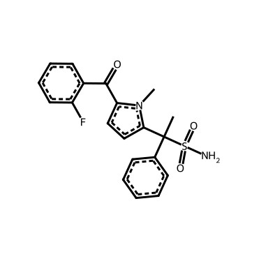 Cn1c(C(=O)c2ccccc2F)ccc1C(C)(c1ccccc1)S(N)(=O)=O